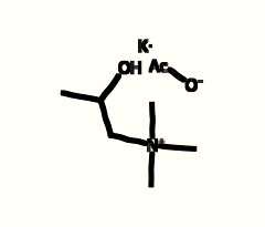 CC(=O)[O-].CC(O)C[N+](C)(C)C.[K]